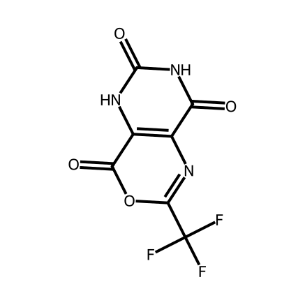 O=c1[nH]c(=O)c2nc(C(F)(F)F)oc(=O)c2[nH]1